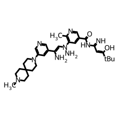 Cc1ncc(C(=O)NC(=N)/C=C(\O)C(C)(C)C)cc1N(N)/C=C(\N)c1cncc(N2CCC3(CCN(C)CC3)CC2)c1